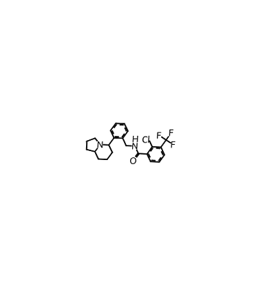 O=C(NCc1ccccc1C1CCCC2CCCN21)c1cccc(C(F)(F)F)c1Cl